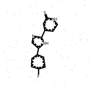 Fc1ccc(-c2cnc(-c3cc[nH]c(=S)c3)[nH]2)cc1